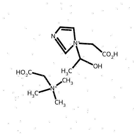 CC(O)[N+]1(CC(=O)O)C=CN=C1.C[N+](C)(C)CC(=O)O